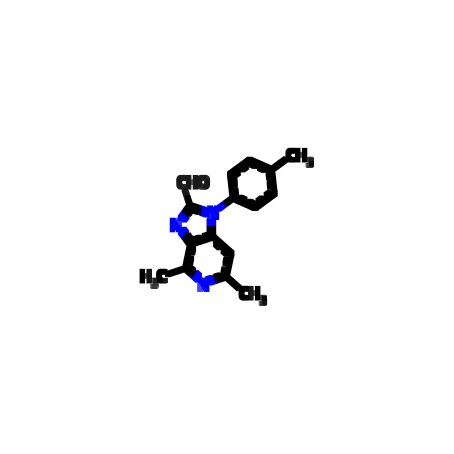 Cc1ccc(-n2c(C=O)nc3c(C)nc(C)cc32)cc1